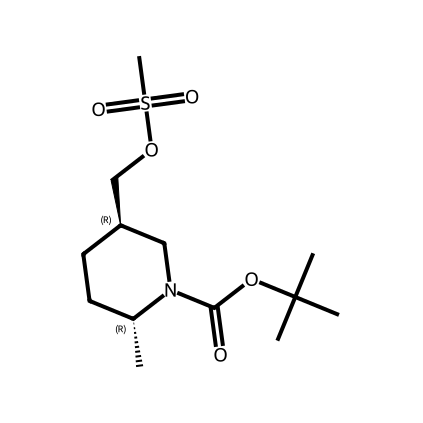 C[C@@H]1CC[C@@H](COS(C)(=O)=O)CN1C(=O)OC(C)(C)C